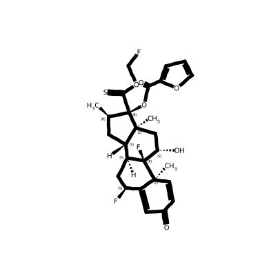 C[C@@H]1C[C@H]2[C@@H]3C[C@H](F)C4=CC(=O)C=C[C@]4(C)[C@@]3(F)[C@@H](O)C[C@]2(C)[C@@]1(OC(=O)c1ccco1)C(=S)OCF